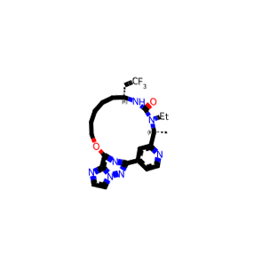 CCN1C(=O)N[C@@H](CC(F)(F)F)CCCCCOc2nc(nn3ccnc23)-c2ccnc(c2)[C@H]1C